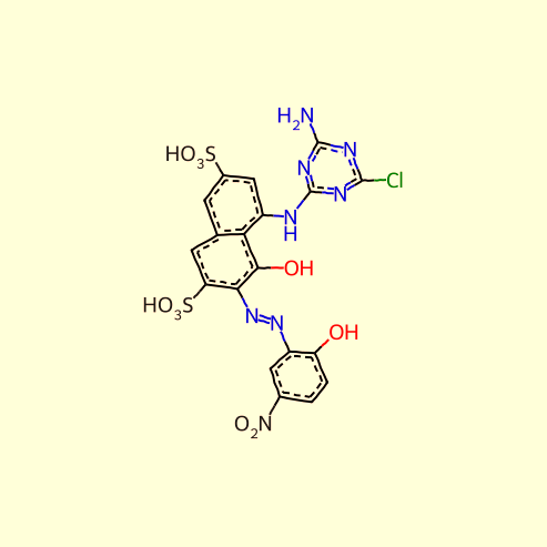 Nc1nc(Cl)nc(Nc2cc(S(=O)(=O)O)cc3cc(S(=O)(=O)O)c(N=Nc4cc([N+](=O)[O-])ccc4O)c(O)c23)n1